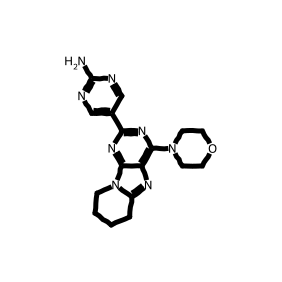 Nc1ncc(-c2nc(N3CCOCC3)c3nc4n(c3n2)CCCC4)cn1